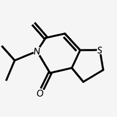 C=C1C=C2SCCC2C(=O)N1C(C)C